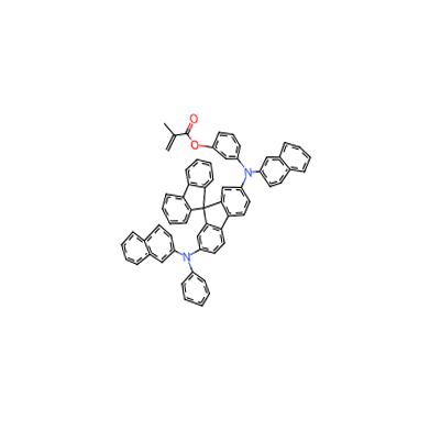 C=C(C)C(=O)Oc1cccc(N(c2ccc3c(c2)C2(c4ccccc4-c4ccccc42)c2cc(N(c4ccccc4)c4ccc5ccccc5c4)ccc2-3)c2ccc3ccccc3c2)c1